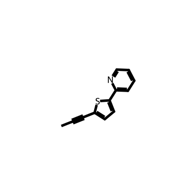 CC#Cc1ccc(-c2ccccn2)s1